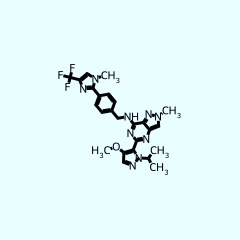 COc1cnn(C(C)C)c1-c1nc(NCc2ccc(-c3nc(C(F)(F)F)cn3C)cc2)c2nn(C)cc2n1